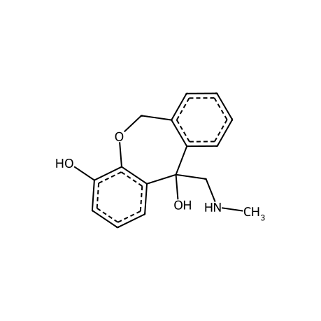 CNCC1(O)c2ccccc2COc2c(O)cccc21